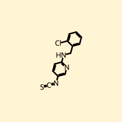 S=C=Nc1ccc(NCc2ccccc2Cl)nc1